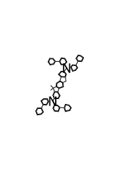 CC1(C)c2cc(N(c3cccc(-c4ccccc4)c3)c3cccc(-c4ccccc4)c3)ccc2-c2cc3c(cc21)-c1ccc(N(c2cccc(-c4ccccc4)c2)c2cccc(-c4ccccc4)c2)cc1C3